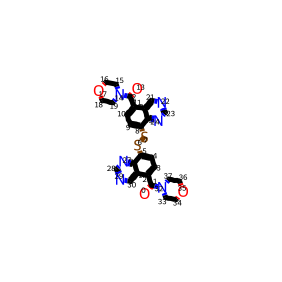 O=C(c1ccc(SSc2ccc(C(=O)N3CCOCC3)c3cncnc23)c2ncncc12)N1CCOCC1